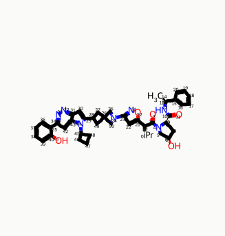 CC(C)C(C(=O)N1C[C@H](O)C[C@H]1C(=O)N[C@@H](C)c1ccccc1)c1cc(N2CC3(CC(c4cc5nnc(-c6ccccc6O)cc5n4C4CCC4)C3)C2)no1